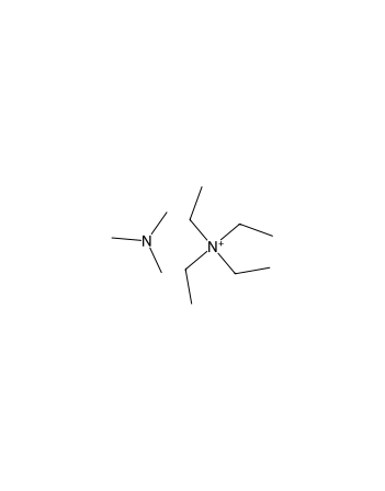 CC[N+](CC)(CC)CC.CN(C)C